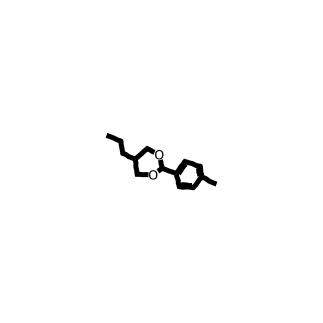 CCCC1COC(c2ccc(C)cc2)OC1